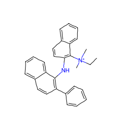 CC[N+](C)(C)c1c(Nc2c(-c3ccccc3)ccc3ccccc23)ccc2ccccc12